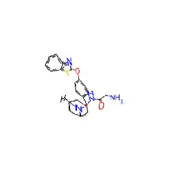 NCC(=O)NC1CC2C[C@H](C1)N2Cc1ccc(Oc2nc3ccccc3s2)cc1